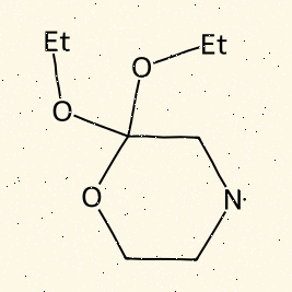 CCOC1(OCC)C[N]CCO1